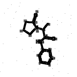 CC(C(=O)Nc1cccnc1)N1CCCC1=O